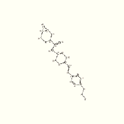 CCCc1ccc(COC2CCC(OC(=O)C3CCC4OC4C3)CC2)cc1